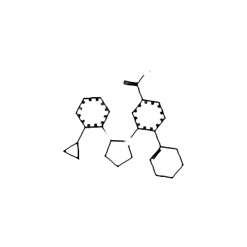 O=C(O)c1ccc(C2=CCCCC2)c(N2CCC[C@H]2c2ccccc2C2CC2)c1